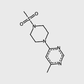 Cc1cc(N2CCN(S(C)(=O)=O)CC2)ncn1